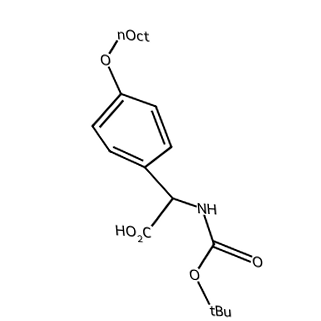 CCCCCCCCOc1ccc(C(NC(=O)OC(C)(C)C)C(=O)O)cc1